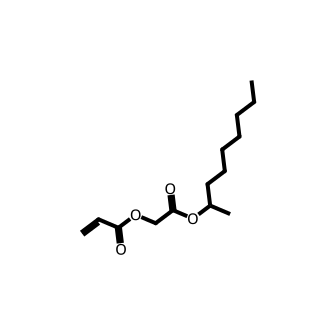 C=CC(=O)OCC(=O)OC(C)CCCCCCC